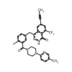 CC#Cc1cc(C(F)(F)F)c2c(=O)[nH]nc(Cc3ccc(F)c(C(=O)N4CCN(c5ccc(C)cn5)CC4)c3)c2c1